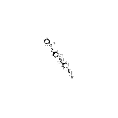 O=C(NCCO)Oc1ccc(C(=O)NS(=O)(=O)c2ccc(CCNC(=O)c3ccc(F)cc3)cc2)cn1